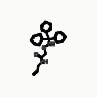 C=CCNC(=O)CONC(c1ccccc1)(c1ccccc1)c1ccccc1